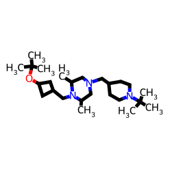 CC1CN(CC2CCN(C(C)(C)C)CC2)CC(C)N1CC1CC(OC(C)(C)C)C1